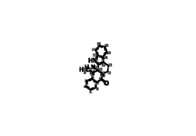 CN1c2ccccc2C(=O)N2CCc3c([nH]c4ccccc34)C21N